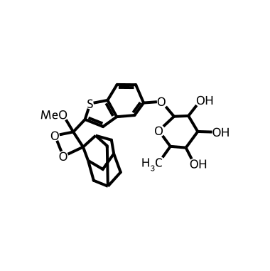 COC1(c2cc3cc(OC4OC(C)C(O)C(O)C4O)ccc3s2)OOC12C1CC3CC(C1)CC2C3